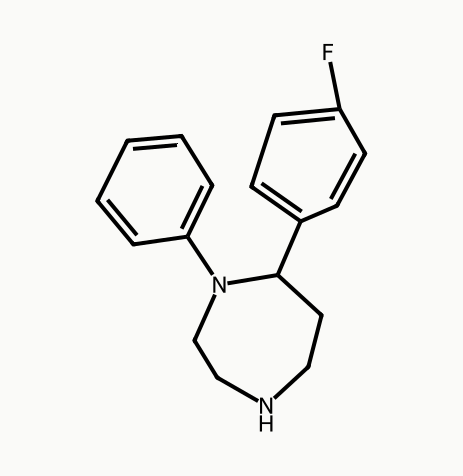 Fc1ccc(C2CCNCCN2c2ccccc2)cc1